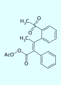 CC(=O)OOC(=O)C(=C(C)c1ccccc1S(C)(=O)=O)c1ccccc1